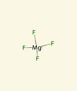 [F][Mg]([F])([F])[F]